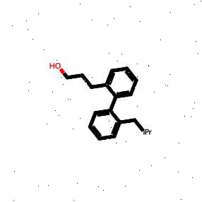 CC(C)Cc1ccccc1-c1ccccc1CCCO